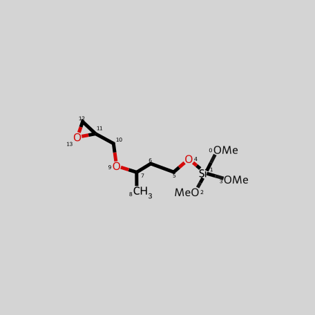 CO[Si](OC)(OC)OCCC(C)OCC1CO1